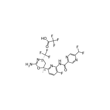 C[C@@]1(c2ccc(F)c(NC(=O)c3cnc(C(F)F)cn3)n2)C[C@@H](C(F)(F)F)N=C(N)O1.O=C(O)C(F)(F)F